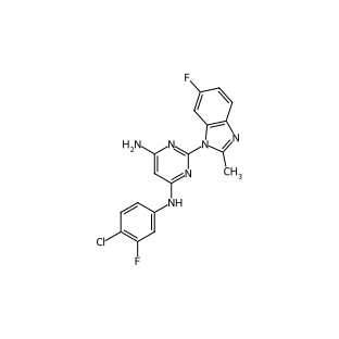 Cc1nc2ccc(F)cc2n1-c1nc(N)cc(Nc2ccc(Cl)c(F)c2)n1